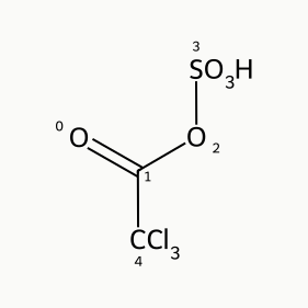 O=C(OS(=O)(=O)O)C(Cl)(Cl)Cl